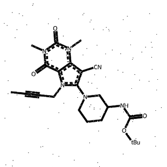 CC#CCn1c(N2CCCC(NC(=O)OC(C)(C)C)C2)c(C#N)c2c1c(=O)n(C)c(=O)n2C